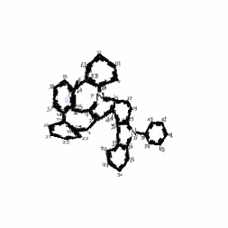 C=Cc1c(/C=C\C)n(-c2ccccc2-c2cccc(-c3ccccc3)c2)c2ccc3c(c4ccccc4n3-c3ccccc3)c12